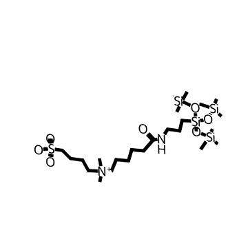 C[N+](C)(CCCCCC(=O)NCCC[Si](O[Si](C)(C)C)(O[Si](C)(C)C)O[Si](C)(C)C)CCCCS(=O)(=O)[O-]